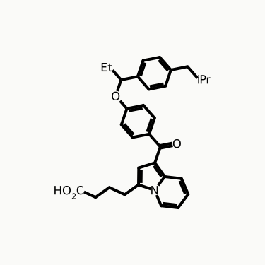 CCC(Oc1ccc(C(=O)c2cc(CCCC(=O)O)n3ccccc23)cc1)c1ccc(CC(C)C)cc1